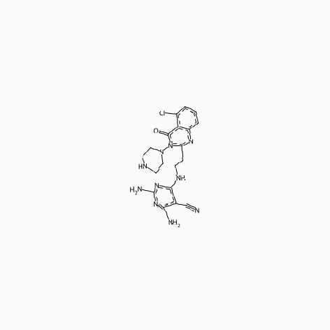 N#Cc1c(N)nc(N)nc1NCCc1nc2cccc(Cl)c2c(=O)n1N1CCNCC1